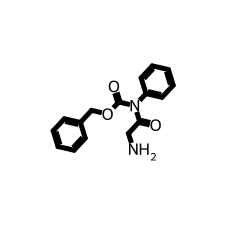 NCC(=O)N(C(=O)OCc1ccccc1)c1ccccc1